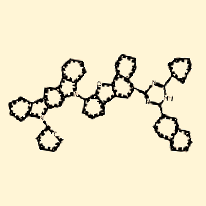 c1ccc(C2=NC(c3cc4c5cccc(-n6c7ccccc7c7cc8c9ccccc9n(-c9ccccc9)c8cc76)c5oc4c4ccccc34)=NC(c3ccc4ccccc4c3)N2)cc1